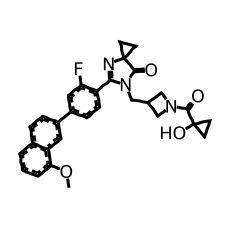 COc1cccc2ccc(-c3ccc(C4=NC5(CC5)C(=O)N4CC4CN(C(=O)C5(O)CC5)C4)c(F)c3)cc12